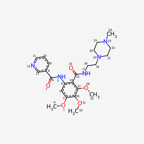 COc1cc(NC(=O)c2cccnc2)c(C(=O)NCCN2CCN(C)CC2)c(OC)c1OC